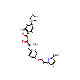 CNc1cccc(CCOc2ccc(C[C@H](N)C(=O)OC(=O)c3ccc(N4CCCC4)cc3Cl)cc2)n1